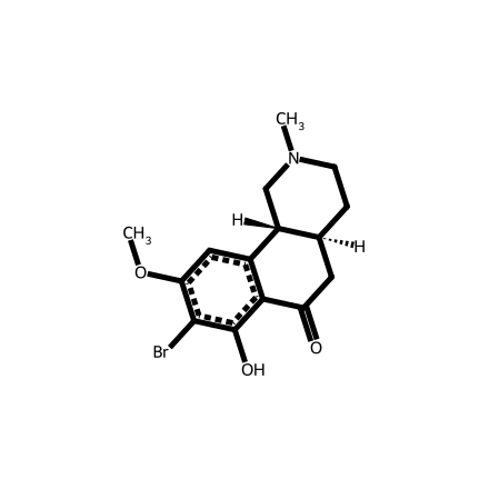 COc1cc2c(c(O)c1Br)C(=O)C[C@@H]1CCN(C)C[C@@H]21